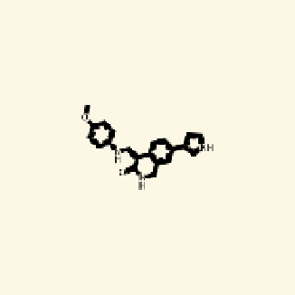 COc1ccc(NC=C2C(=O)NCc3cc(-c4cc[nH]c4)ccc32)cc1